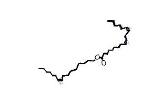 CCCCC/C=C\C/C=C\CCCCCCCC(=O)OCCCCCCCC/C=C\CCCCCC